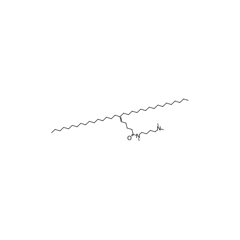 CCCCCCCCCCCCCCCCC(=CCCCC(=O)N(C)CCCCN(C)C)CCCCCCCCCCCCCCCC